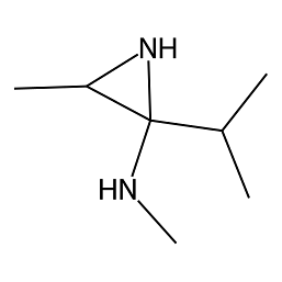 CNC1(C(C)C)NC1C